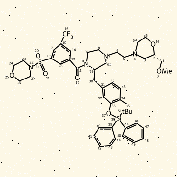 COC[C@@H]1CN(CCN2CCN(C(=O)c3cc(C(F)(F)F)cc(S(=O)(=O)N4CCOCC4)c3)[C@H](Cc3ccc(C)c(O[Si](c4ccccc4)(c4ccccc4)C(C)(C)C)c3)C2)CCO1